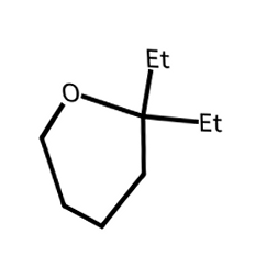 CCC1(CC)CCCCO1